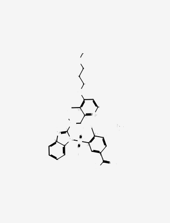 COCCCOc1ccnc(C[S+]([O-])c2nc3ccccc3n2S(=O)(=O)c2cc(C(=O)O)ccc2C)c1C.[Na]